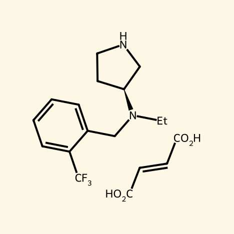 CCN(Cc1ccccc1C(F)(F)F)[C@H]1CCNC1.O=C(O)C=CC(=O)O